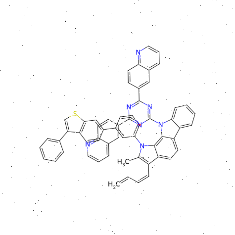 C=C/C=C\c1c(C)n(-c2cccc(-c3ccc4c(-c5ccccc5)csc4c3)c2)c2c1ccc1c3ccccc3n(-c3nc(-c4ccc5ncccc5c4)nc(-c4ccc5ncccc5c4)n3)c12